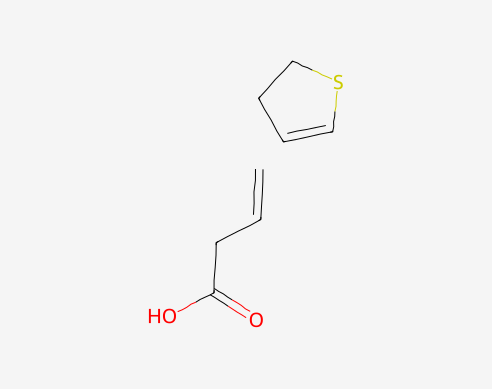 C1=CSCC1.C=CCC(=O)O